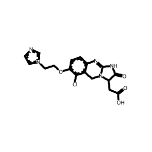 O=C(O)CC1C(=O)NC2=Nc3ccc(OCCn4ccnc4)c(Cl)c3CN21